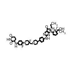 C=CCn1c(=O)c2cnc(Nc3ccc(C4CCN(CC5(F)CCN(c6ccc(NC7CCC(=O)NC7=O)cc6F)CC5)CC4)cc3)nc2n1-c1cccc(C(C)(C)O)n1